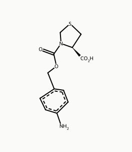 Nc1ccc(COC(=O)N2CSC[C@H]2C(=O)O)cc1